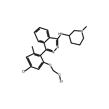 CCOCOc1cc(Cl)cc(C)c1-c1nnc(NC2CCCN(C)C2)c2ccccc12